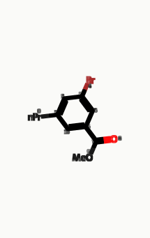 CCCc1cc(Br)cc(C(=O)OC)c1